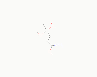 CCOC(N)CC[Si](C)(OCC)OCC